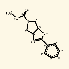 CC(C)(C)OC(=O)N1CC2N=C(c3ccccc3)NC2C1